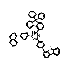 c1ccc(C2(c3ccccc3)c3ccccc3-c3c(-c4nc(-c5ccc(-c6cccc7ccccc67)cc5)nc(-c5ccc(-c6cccc7c6sc6ccccc67)cc5)n4)cccc32)cc1